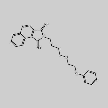 N=C1c2ccc3ccccc3c2C(=N)N1CCCCOCCOc1ccccc1